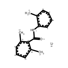 Cc1ccccc1PC(=O)c1c(C)cccc1C.[Li]